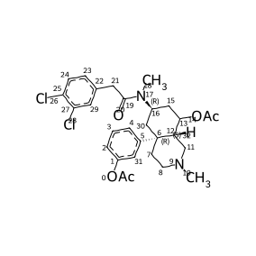 CC(=O)Oc1cccc([C@@]23CCN(C)C[C@H]2C(OC(C)=O)C[C@H](N(C)C(=O)Cc2ccc(Cl)c(Cl)c2)C3)c1